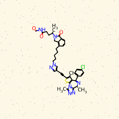 Cc1c(C#Cc2cnn(CCCCCc3cccc4c3CN(C(C)CCC(=O)NC=O)C4=O)c2)sc2c1C(c1ccc(Cl)cc1)=N[C@@H](C)c1nnc(C)n1-2